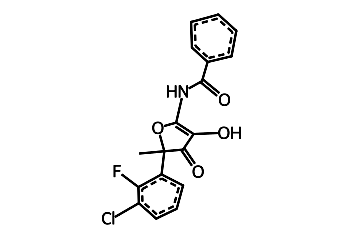 CC1(c2cccc(Cl)c2F)OC(NC(=O)c2ccccc2)=C(O)C1=O